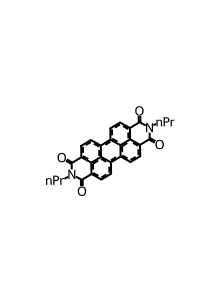 CCCN1C(=O)c2ccc3c4ccc5c6c(ccc(c7ccc(c2c37)C1=O)c64)C(=O)N(CCC)C5=O